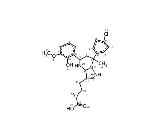 COc1cccc(C2CC(C)(c3ccc(Cl)cc3)N3NC=C(CCOC(=O)O)C3N2)c1O